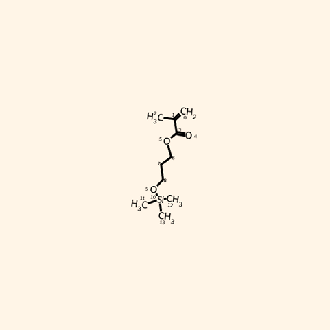 C=C(C)C(=O)OCCCO[Si](C)(C)C